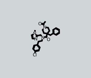 CC(=O)N1CCC(Cc2ccccc2)(C(=O)N(CCc2ccc(Cl)cc2)Cc2nccn2C)CC1